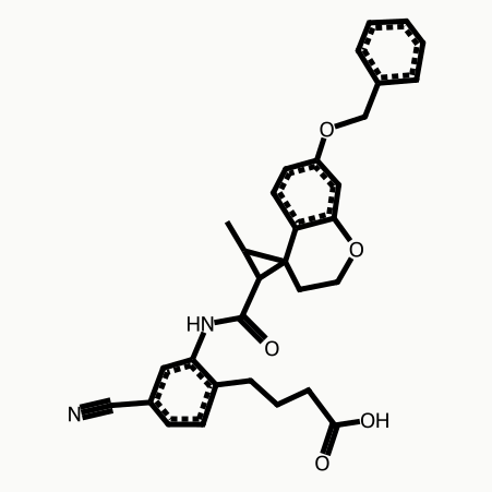 CC1C(C(=O)Nc2cc(C#N)ccc2CCCC(=O)O)C12CCOc1cc(OCc3ccccc3)ccc12